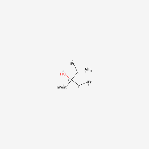 CCCCCC(O)(CC(C)C)CC(C)C.[AlH3]